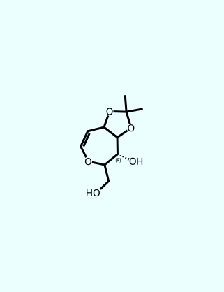 CC1(C)OC2C=COC(CO)[C@@H](O)C2O1